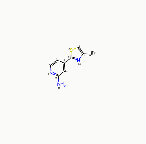 CC(C)c1csc(-c2ccnc(N)c2)n1